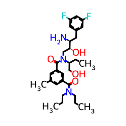 CCCN(CCC)C(=O)c1cc(C)cc(C(=O)N(C[C@@H](O)[C@@H](N)Cc2cc(F)cc(F)c2)C(CC)CO)c1